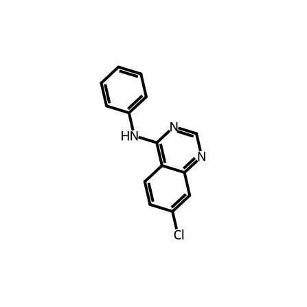 Clc1ccc2c(Nc3ccccc3)ncnc2c1